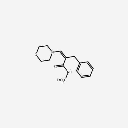 CCOC(=O)NC(=S)C(=CN1CCOCC1)Cc1ccccc1